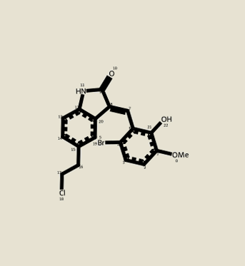 COc1ccc(Br)c(C=C2C(=O)Nc3ccc(CCCl)cc32)c1O